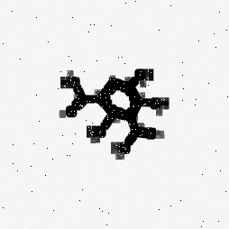 O=C(O)c1cc(O)c(O)c(C(=O)O)c1O